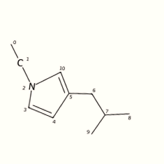 CCn1ccc(CC(C)C)c1